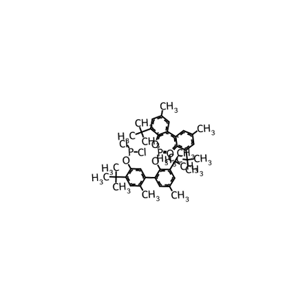 Cc1cc(-c2cc(OP(Cl)Cl)c(C(C)(C)C)cc2C)c(Op2oc3c(C(C)(C)C)cc(C)cc3c3cc(C)cc(C(C)(C)C)c3o2)c(C(C)(C)C)c1